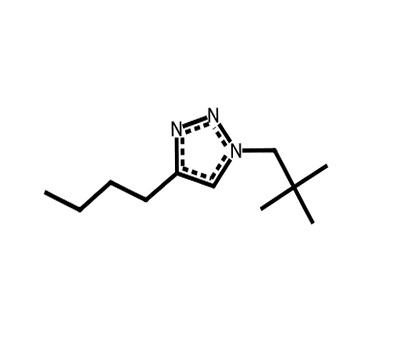 CCCCc1cn(CC(C)(C)C)nn1